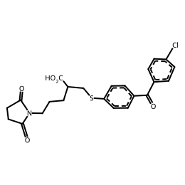 O=C(c1ccc(Cl)cc1)c1ccc(SCC(CCCN2C(=O)CCC2=O)C(=O)O)cc1